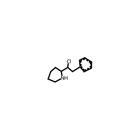 ClC(Cc1ccccc1)C1CCCCN1